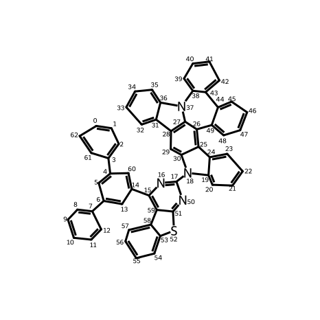 c1ccc(-c2cc(-c3ccccc3)cc(-c3nc(-n4c5ccccc5c5c6c7c(cc54)c4ccccc4n7-c4ccccc4-c4ccccc4-6)nc4sc5ccccc5c34)c2)cc1